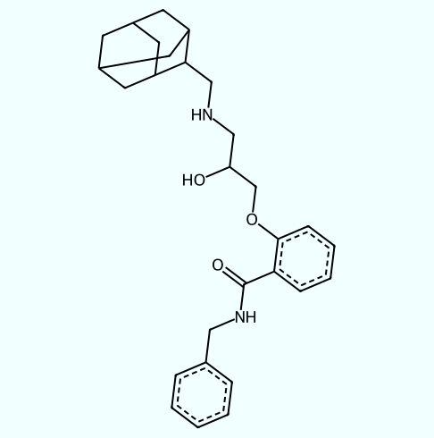 O=C(NCc1ccccc1)c1ccccc1OCC(O)CNCC1C2CC3CC(C2)CC1C3